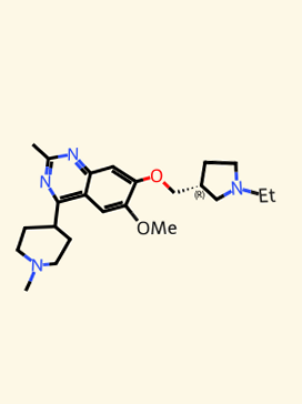 CCN1CC[C@@H](COc2cc3nc(C)nc(C4CCN(C)CC4)c3cc2OC)C1